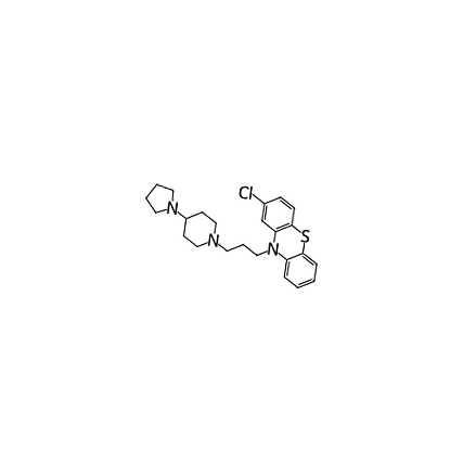 Clc1ccc2c(c1)N(CCCN1CCC(N3CCCC3)CC1)c1ccccc1S2